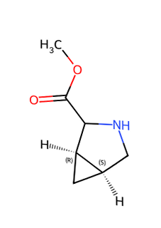 COC(=O)C1NC[C@H]2C[C@@H]12